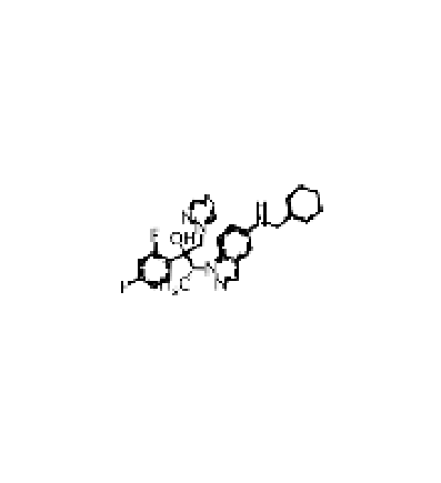 C[C@@H](n1ncc2cc(NCC3CCCCC3)ccc21)[C@](O)(Cn1cncn1)c1ccc(F)cc1F